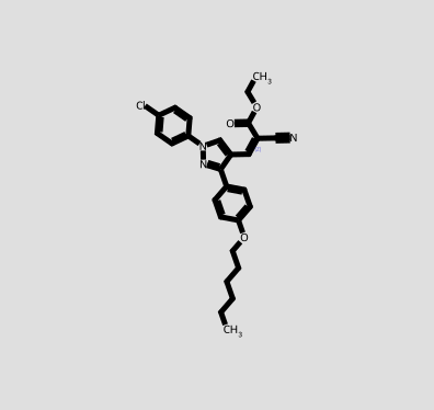 CCCCCCOc1ccc(-c2nn(-c3ccc(Cl)cc3)cc2/C=C(/C#N)C(=O)OCC)cc1